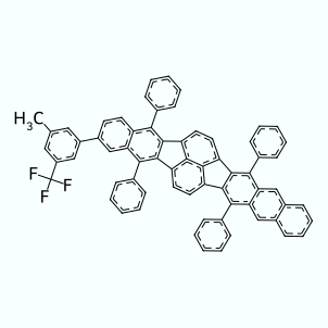 Cc1cc(-c2ccc3c(-c4ccccc4)c4c(c(-c5ccccc5)c3c2)-c2ccc3c5c(ccc-4c25)-c2c-3c(-c3ccccc3)c3cc4ccccc4cc3c2-c2ccccc2)cc(C(F)(F)F)c1